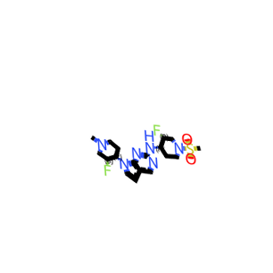 CN1CC[C@@H](n2ccc3cnc(N[C@@H]4CCN(S(C)(=O)=O)C[C@H]4F)nc32)[C@@H](F)C1